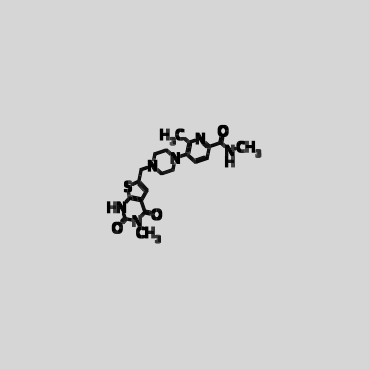 CNC(=O)c1ccc(N2CCN(Cc3cc4c(=O)n(C)c(=O)[nH]c4s3)CC2)c(C)n1